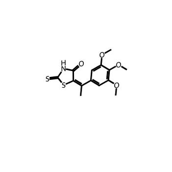 COc1cc(/C(C)=C2/SC(=S)NC2=O)cc(OC)c1OC